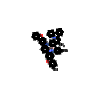 C=C1C=C(c2ccccc2)N(c2ccccc2)c2cc3c(cc21)Bc1c(-c2cc4oc5cc(C(C)(C)C)ccc5c4cc2Nc2ccc(C(C)(C)C)cc2)ccc2c4cc5c(cc4n-3c12)oc1ccccc15